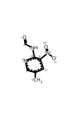 Cc1cnc(NC=O)c([N+](=O)[O-])c1